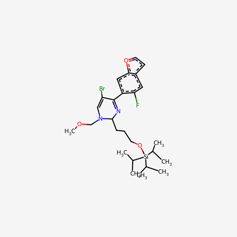 COCN1C=C(Br)C(c2cc3occc3cc2F)=NC1CCCO[Si](C(C)C)(C(C)C)C(C)C